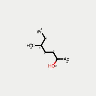 CC(=O)C(O)CCC(C)CC(C)C